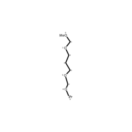 COCOCCCOCOC(C)C